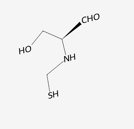 O=C[C@H](CO)NCS